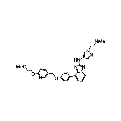 CNCCn1cc(Nc2nc3c(-c4ccc(OCc5ccc(OCCOC)nc5)cc4)cccn3n2)cn1